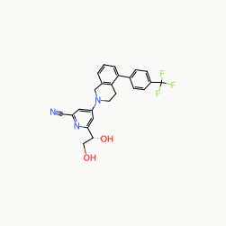 N#Cc1cc(N2CCc3c(cccc3-c3ccc(C(F)(F)F)cc3)C2)cc([C@H](O)CO)n1